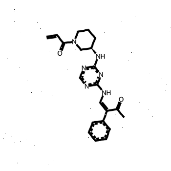 C=CC(=O)N1CCC[C@@H](Nc2ncnc(N/C=C(\C(C)=O)c3ccccc3)n2)C1